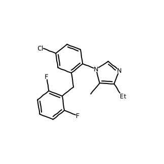 CCc1ncn(-c2ccc(Cl)cc2Cc2c(F)cccc2F)c1C